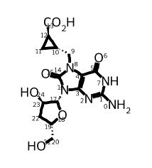 Nc1nc2c(c(=O)[nH]1)n(C[C@@H]1C[C@H]1C(=O)O)c(=O)n2[C@@H]1O[C@H](CO)C[C@H]1O